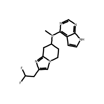 CN(c1ncnc2[nH]ccc12)C1CCn2cc(CC(F)F)nc2C1